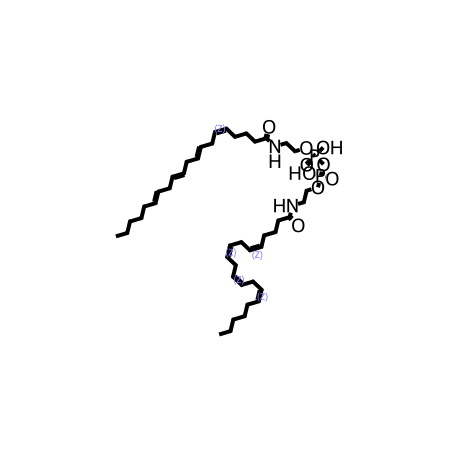 CCCCCC=CCC=CCC=CC/C=C\CCCC(=O)NCCOP(=O)(O)OP(=O)(O)OCCNC(=O)CCC/C=C\C/C=C\C/C=C\C/C=C\CCCCC